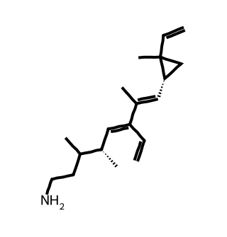 C=CC(=C\[C@H](C)C(C)CCN)/C(C)=C/[C@H]1CC1(C)C=C